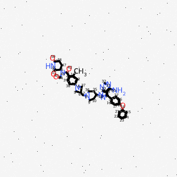 Cc1cc(N2CC(CN3CCC(n4nc(-c5ccc(Oc6ccccc6)cc5)c5c(N)ncnc54)CC3)C2)ccc1C(=O)N(C=O)C1CCC(=O)NC1=O